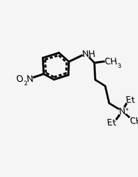 CC[N+](C)(CC)CCCC(C)Nc1ccc([N+](=O)[O-])cc1